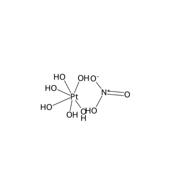 O=[N+]([O-])O.[OH][Pt]([OH])([OH])([OH])([OH])[OH]